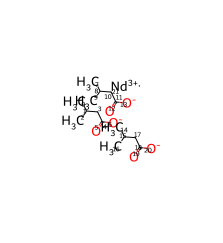 CC(C)CC(=O)[O-].CC(C)CC(=O)[O-].CC(C)CC(=O)[O-].[Nd+3]